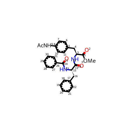 COC(=O)[C@H](Cc1ccc(NC(C)=O)cc1)NC(=O)[C@H](Cc1ccccc1)NC(=O)c1ccccc1